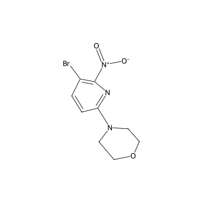 O=[N+]([O-])c1nc(N2CCOCC2)ccc1Br